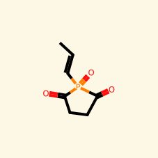 CC=CP1(=O)C(=O)CCC1=O